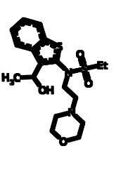 CCS(=O)(=O)N(CCN1CCOCC1)c1sc2ccccc2c1C(C)O